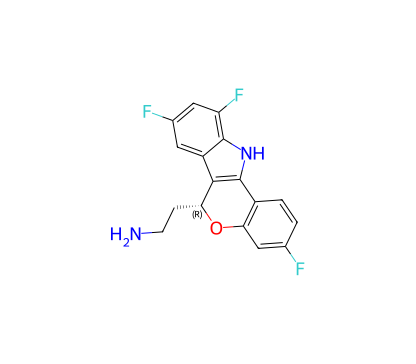 NCC[C@H]1Oc2cc(F)ccc2-c2[nH]c3c(F)cc(F)cc3c21